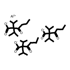 CCCC(=O)C(C(=O)[O-])(C(C)C)C(C)C.CCCC(=O)C(C(=O)[O-])(C(C)C)C(C)C.CCCC(=O)C(C(=O)[O-])(C(C)C)C(C)C.[Al+3]